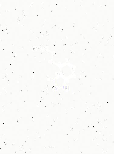 CCOC(=O)COc1cccc2[nH]nnc12